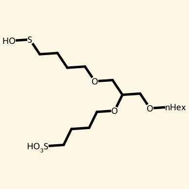 CCCCCCOCC(COCCCCSO)OCCCCS(=O)(=O)O